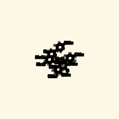 COc1ccc(-c2cc(=O)c3c(OC)c(OC)c(OC)c(OC)c3o2)cc1.COc1ccc(C2(OC)Oc3ccc(OC)c(OC)c3C(=O)C2OC)cc1